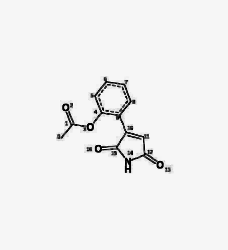 CC(=O)Oc1ccccc1C1=CC(=O)NC1=O